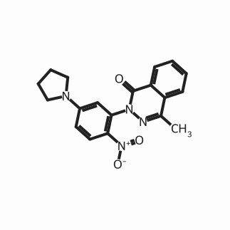 Cc1nn(-c2cc(N3CCCC3)ccc2[N+](=O)[O-])c(=O)c2ccccc12